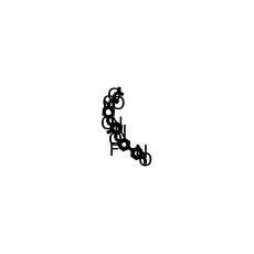 COc1ccc(-c2ccc(Oc3ncnc(OC4CCN(OC(=O)OC(C)C)CC4)c3C)c(F)c2)cn1